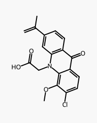 C=C(C)c1ccc2c(=O)c3ccc(Cl)c(OC)c3n(CC(=O)O)c2c1